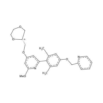 COc1cc(OC[C@H]2COCCO2)cc(-c2c(C)cc(OCc3ccccn3)cc2C)n1